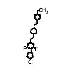 CCc1ccc(CC[C@H]2CC[C@H](CCc3cc(F)c(-c4ccc(Cl)cc4)c(F)c3)CC2)cc1